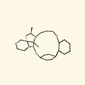 C[C@@H]1C[C@]2(COCCN2)[C@H]2COC3CCC(CC3)C3CCCCC3OCCCN12